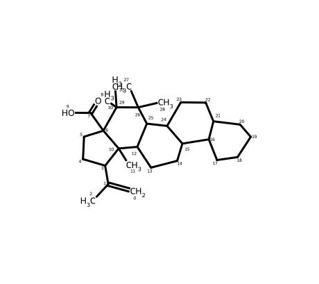 C=C(C)C1CCC2(C(=O)O)C1(C)C1CCC3C4CCCCC4CCC3C1C(C)(C)C2(C)C